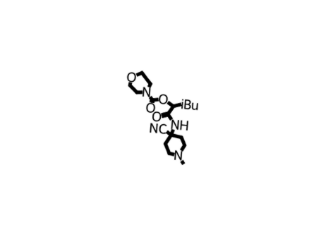 CCC(C)C(OC(=O)N1CCOCC1)C(=O)NC1(C#N)CCN(C)CC1